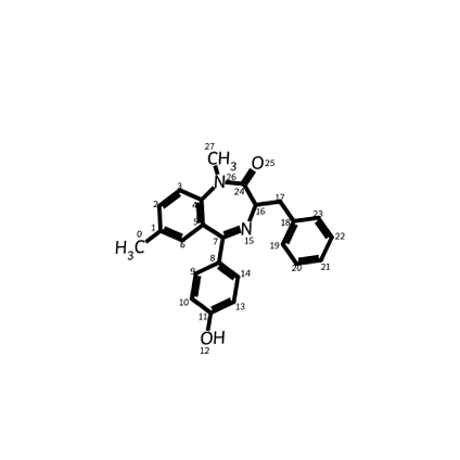 Cc1ccc2c(c1)C(c1ccc(O)cc1)=NC(Cc1ccccc1)C(=O)N2C